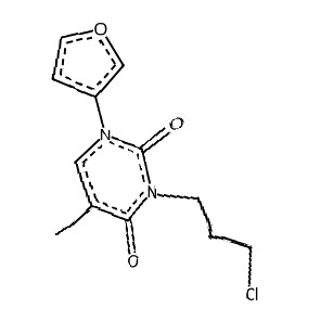 Cc1cn(-c2ccoc2)c(=O)n(CCCCl)c1=O